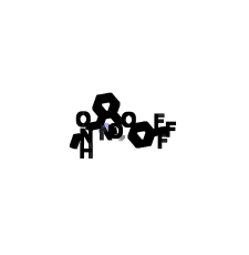 CCNC(=O)/C(=N/OC)c1ccccc1COc1cccc(C(F)(F)F)c1